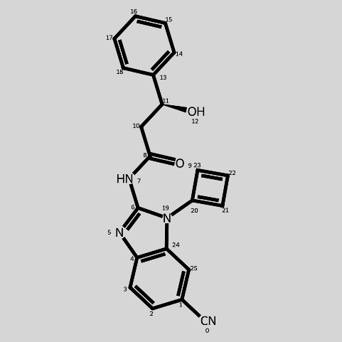 N#Cc1ccc2nc(NC(=O)C[C@H](O)c3ccccc3)n(C3=CC=C3)c2c1